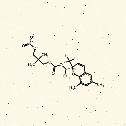 Cc1cc(C)c2c(c1)C=C[C@](C(C)OC(=O)OCC(C)(C)CO[N+](=O)[O-])(C(F)(F)F)O2